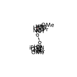 CCCN(Cc1ncc(-c2ccc(C#Cc3ccc(-c4cnc([C@@H]5[C@H]6CC[C@H](C6)N5C(=O)[C@@H](NC(=O)OC)C(C)C)[nH]4)cc3)cc2)[nH]1)C(=O)[C@@H](NC(=O)OC)C(C)C